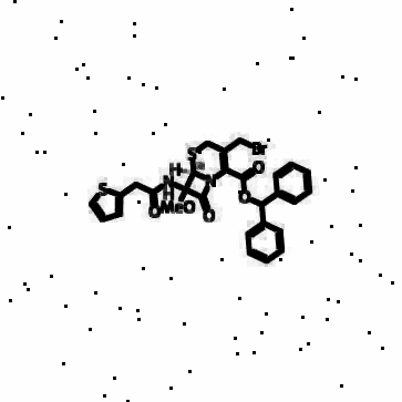 COC1(NC(=O)Cc2cccs2)C(=O)N2C(C(=O)OC(c3ccccc3)c3ccccc3)=C(CBr)CS[C@@H]21